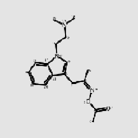 CC(=O)O/N=C(/C)Cc1cn(CCN(C)C)c2ccccc12